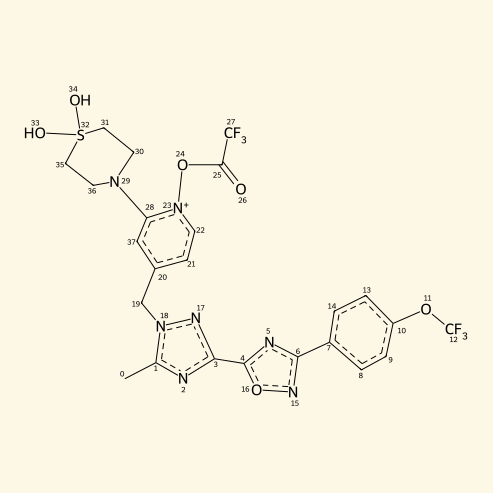 Cc1nc(-c2nc(-c3ccc(OC(F)(F)F)cc3)no2)nn1Cc1cc[n+](OC(=O)C(F)(F)F)c(N2CCS(O)(O)CC2)c1